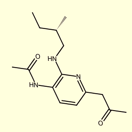 CC[C@H](C)CNc1nc(CC(C)=O)ccc1NC(C)=O